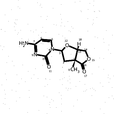 C[C@@]12CC(n3ccc(N)nc3=O)O[C@@H]1COC2=O